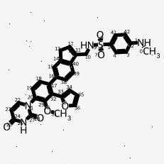 CNc1ccc(S(=O)(=O)NCC2=CCc3cc(-c4ccc(-n5ccc(=O)[nH]c5=O)c(OC)c4-c4ccco4)ccc32)cc1